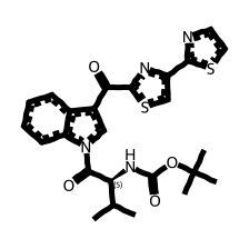 CC(C)[C@H](NC(=O)OC(C)(C)C)C(=O)n1cc(C(=O)c2nc(-c3nccs3)cs2)c2ccccc21